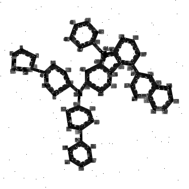 c1ccc(-c2ccc(N(c3ccc(-c4ccccc4)cc3)c3ccc4c5c(-c6ccc7ccccc7c6)cccc5n(-c5ccccc5)c4c3)cc2)cc1